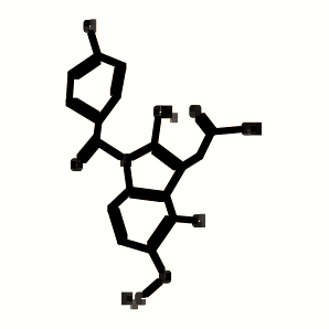 COc1ccc2c(c1Cl)c(CC(=O)O)c(C)n2C(=O)c1ccc(Cl)cc1